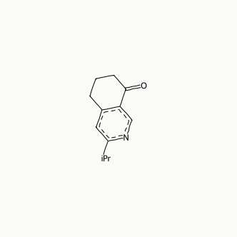 CC(C)c1cc2c(cn1)C(=O)CCC2